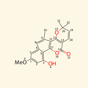 COc1cc(O)c2c(c1)cc(C)c1c3c(c(=O)oc12)C=CC(C)(C)O3